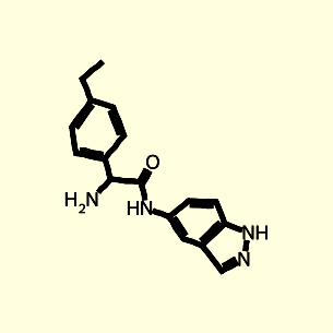 CCc1ccc(C(N)C(=O)Nc2ccc3[nH]ncc3c2)cc1